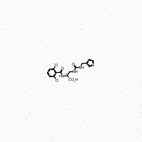 O=C(NCc1ccsc1)NC[C@H](NC(=O)c1c(Cl)cccc1Cl)C(=O)O